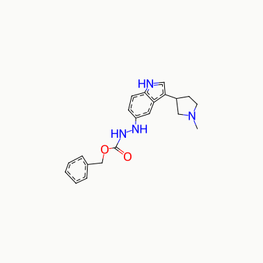 CN1CCC(c2c[nH]c3ccc(NNC(=O)OCc4ccccc4)cc23)C1